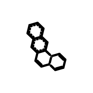 C1=CB2C=Cc3cc4ccccc4cc3N2C=C1